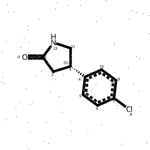 O=C1C[C@@H](c2ccc(Cl)cc2)CN1